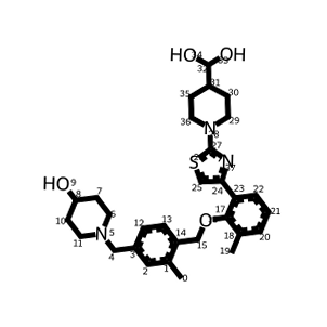 Cc1cc(CN2CCC(O)CC2)ccc1COc1c(C)cccc1-c1csc(N2CCC(C(O)O)CC2)n1